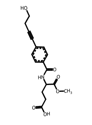 COC(=O)C(CCC(=O)O)NC(=O)c1ccc(C#CCCO)cc1